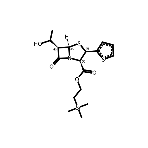 CC(O)[C@@H]1C(=O)N2[C@@H]1S[C@@H](c1cccs1)[C@H]2C(=O)OCC[Si](C)(C)C